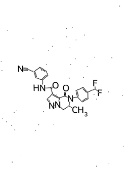 CC1Cn2ncc(C(=O)Nc3cccc(C#N)c3)c2C(=O)N1c1ccc(C(F)F)cc1